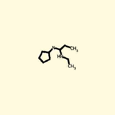 CCNC(CC)[N]C1CCCC1